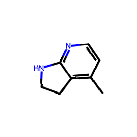 Cc1ccnc2c1CCN2